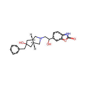 O=c1[nH]c2ccc(C(O)CN3C[C@@H]4CC(O)(Cc5ccccc5)C[C@@H]4C3)cc2o1